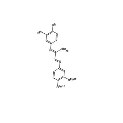 CCCCCc1ccc(/N=C/C(CCCC)=N/c2ccc(CCC)c(CCC)c2)cc1CCCCC.[Ni]